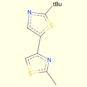 Cc1nc(-c2cnc(C(C)(C)C)s2)cs1